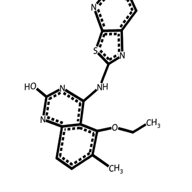 CCOc1c(C)ccc2nc(O)nc(Nc3nc4cccnc4s3)c12